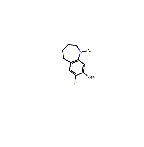 COc1cc2c(cc1Br)CCCCN2C(C)=O